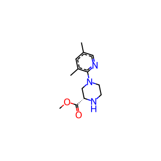 COC(=O)[C@@H]1CN(c2ncc(C)cc2C)CCN1